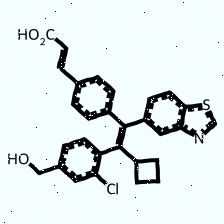 O=C(O)C=Cc1ccc(C(=C(c2ccc(CO)cc2Cl)C2CCC2)c2ccc3scnc3c2)cc1